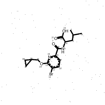 CC(C)CC(NC(=O)c1ccc(Br)c(OCC2CC2)n1)C(=O)O